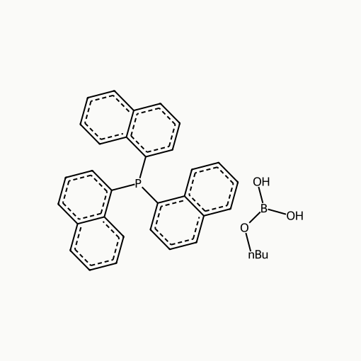 CCCCOB(O)O.c1ccc2c(P(c3cccc4ccccc34)c3cccc4ccccc34)cccc2c1